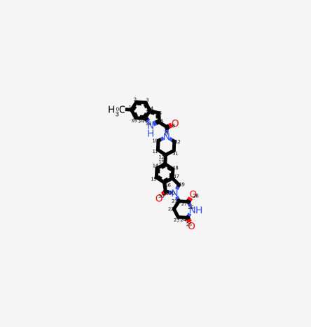 Cc1ccc2cc(C(=O)N3CCC(c4ccc5c(c4)CN(C4CCC(=O)NC4=O)C5=O)CC3)[nH]c2c1